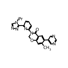 Cc1cc2c(cc1-c1cncnc1)C(=O)N(c1cccc(-c3nncn3C(C)C)n1)CO2